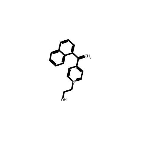 C=C(c1cc[n+](CCO)cc1)c1cccc2ccccc12